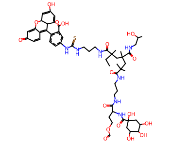 CCC(C)(CC(C)(CC(C)(C)C(=O)NCCCNC(=O)C(CCOC=O)NC(=O)C1(O)CC(O)C(O)C(O)C1)C(=O)NCC(C)O)C(=O)NCCCNC(=S)Nc1ccc(C2=C3C=CC(=O)C=C3OC3C=C(O)C=CC23)c(C(=O)O)c1